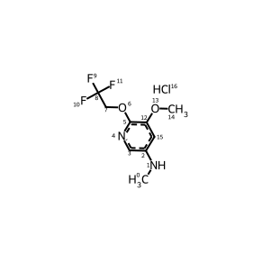 CNc1cnc(OCC(F)(F)F)c(OC)c1.Cl